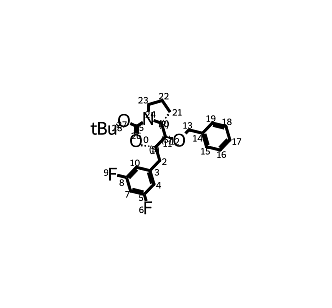 C[C@@H](Cc1cc(F)cc(F)c1)[C@H](OCc1ccccc1)[C@H]1CCCN1C(=O)OC(C)(C)C